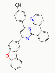 N#Cc1ccc(-c2cc(-c3ccc4oc5ccccc5c4c3)nc(-c3ccccc3-c3cccnc3)n2)cc1